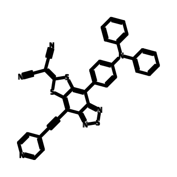 N#CC(C#N)=C1Sc2c(c(-c3ccc(N(c4ccccc4)c4ccccc4)cc3)c3nsnc3c2C#Cc2ccncc2)S1